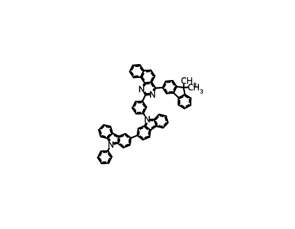 CC1(C)c2ccccc2-c2cc(-c3nc(-c4cccc(-n5c6ccccc6c6ccc(-c7ccc8c(c7)c7ccccc7n8-c7ccccc7)cc65)c4)nc4c3ccc3ccccc34)ccc21